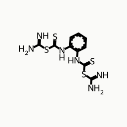 N=C(N)SC(=S)Nc1ccccc1NC(=S)SC(=N)N